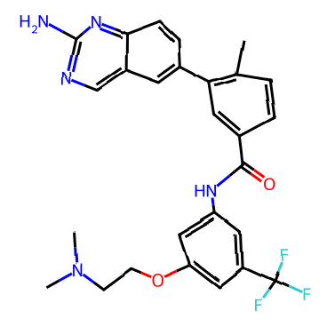 Cc1ccc(C(=O)Nc2cc(OCCN(C)C)cc(C(F)(F)F)c2)cc1-c1ccc2nc(N)ncc2c1